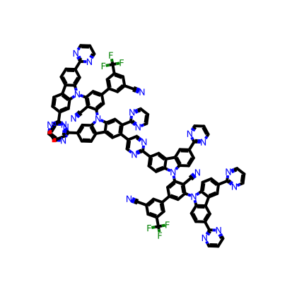 N#Cc1cc(-c2cc(-n3c4ccc(-c5ncccn5)cc4c4cc(-c5ncccn5)ccc43)c(C#N)c(-n3c4ccc(-c5ncccn5)cc4c4cc(-c5ncc(-c6cc7c8ccc(-c9ncccn9)cc8n(-c8cc(-c9cc(C#N)cc(C(F)(F)F)c9)cc(-n9c%10cc(-c%11ncccn%11)ccc%10c%10ccc(-c%11ncccn%11)cc%109)c8C#N)c7cc6-c6ncccn6)cn5)ccc43)c2)cc(C(F)(F)F)c1